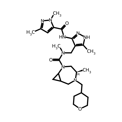 Cc1cc(C(=O)Nc2n[nH]c(C)c2CN(C)C(=O)N2C[C@@H](C)N(CC3CCOCC3)CC3CC32)n(C)n1